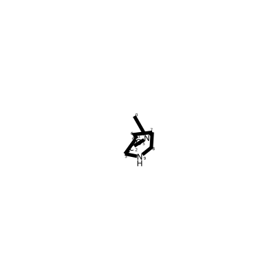 CN1CC2COCC1CN2